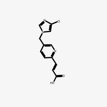 O=C(O)/C=C/c1ccc(Cn2cnc(Cl)c2)cn1